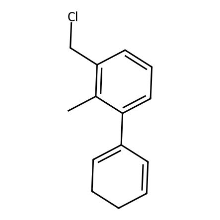 Cc1c(CCl)cccc1C1=CCCC=C1